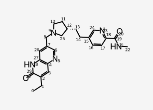 CCc1cc2ncc(CN3CC[C@H](CCc4ccc(C(=O)NC)nc4)C3)cc2[nH]c1=O